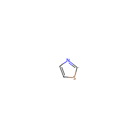 [c]1nccs1